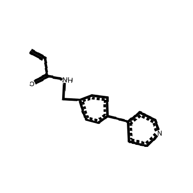 C=CC(=O)NCc1ccc(-c2ccncc2)cc1